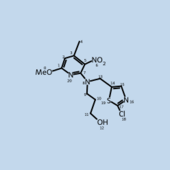 COc1cc(C)c([N+](=O)[O-])c(N(CCCO)Cc2cnc(Cl)s2)n1